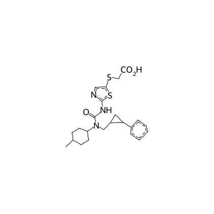 CC1CCC(N(CC2CC2c2ccccc2)C(=O)Nc2ncc(SCC(=O)O)s2)CC1